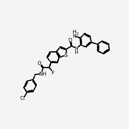 Nc1ccc(-c2ccccc2)cc1NC(=O)c1cc2ccc(C(F)C(=O)NCc3ccc(Cl)cc3)cc2s1